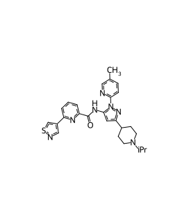 Cc1ccc(-n2nc(C3CCN(C(C)C)CC3)cc2NC(=O)c2cccc(-c3cnsc3)n2)nc1